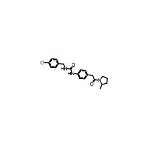 CC1CCCN1C(=O)Cc1ccc(NC(=O)NCc2ccc(Cl)cc2)cc1